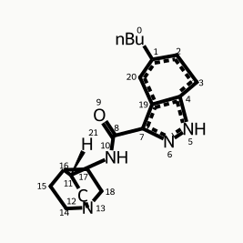 CCCCc1ccc2[nH]nc(C(=O)N[C@@H]3CN4CCC3CC4)c2c1